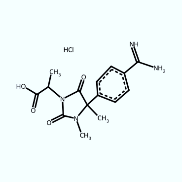 CC(C(=O)O)N1C(=O)N(C)C(C)(c2ccc(C(=N)N)cc2)C1=O.Cl